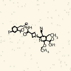 CCOc1nc(N2CC(C(=O)NS(=O)(=O)Cc3ccc(F)cc3F)C2)c(C#N)c(CC)c1C(=O)O